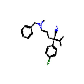 CC(C)C(C#N)(CCCN(C)Cc1ccccc1)c1ccc(F)cc1